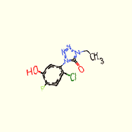 CCn1nnn(-c2cc(O)c(F)cc2Cl)c1=O